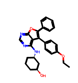 CCOc1ccc(-c2c(-c3ccccc3)oc3ncnc(N[C@H]4CCC[C@H](O)C4)c23)cc1